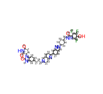 Cn1c(=O)n(C2CCC(=O)NC2=O)c2ccc(CCCN3CCc4nc(-c5ccc6cn([C@H]7CC[C@H](CNC(=O)c8cc(F)c(O)c(F)c8F)CC7)nc6c5)ccc4C3)cc21